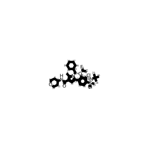 Cc1c(C(=O)NC2CCOCC2)cc(-c2ccc([SH](C)(=O)NC(C)(C)C)c(Cl)c2OC(F)F)n1CC1CCCCC1